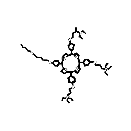 CCCCCCCCCCCOc1ccc(-c2c3nc(c(-c4ccc(OCCC[N+](CC)(CC)CC)cc4)c4ccc([nH]4)c(-c4ccc(OCCC[N+](CC)(CC)CC)cc4)c4nc(c(-c5ccc(OCCC(C)N(CC)CC)cc5)c5ccc2[nH]5)C=C4)C=C3)cc1